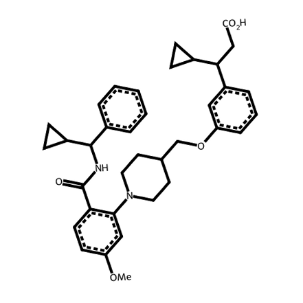 COc1ccc(C(=O)NC(c2ccccc2)C2CC2)c(N2CCC(COc3cccc(C(CC(=O)O)C4CC4)c3)CC2)c1